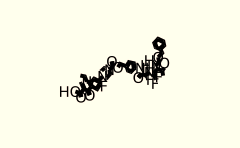 CCn1cc(C(=O)O)c(=O)c2cc(F)c(N3CCN(C(=O)OCc4ccc(NC(=O)[C@H](C)NC([C@@H](NC(=O)OCc5ccccc5)C(C)C)C(F)(F)F)cc4)CC3)cc21